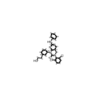 O=C1N(c2c(Cl)cccc2Cl)Cc2cnc(Nc3ccccc3)nc2N1c1cccc(CCO)c1